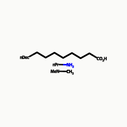 CCCCCCCCCCCCCCCCCC(=O)O.CCCN.CNC